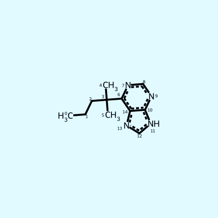 CCCC(C)(C)c1ncnc2[nH]cnc12